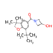 CC(C)(C)c1cc(C(=O)N2CC(O)C2)cc2c1OCC2(C)C